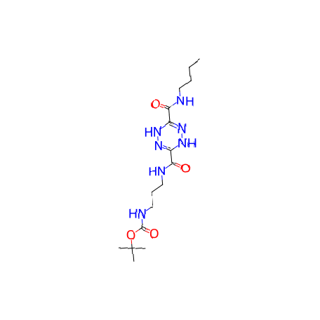 CCCCNC(=O)C1=NNC(C(=O)NCCCNC(=O)OC(C)(C)C)=NN1